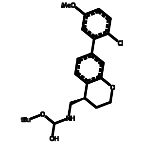 COc1ccc(Cl)c(-c2ccc3c(c2)OCC[C@H]3CNC(O)OC(C)(C)C)c1